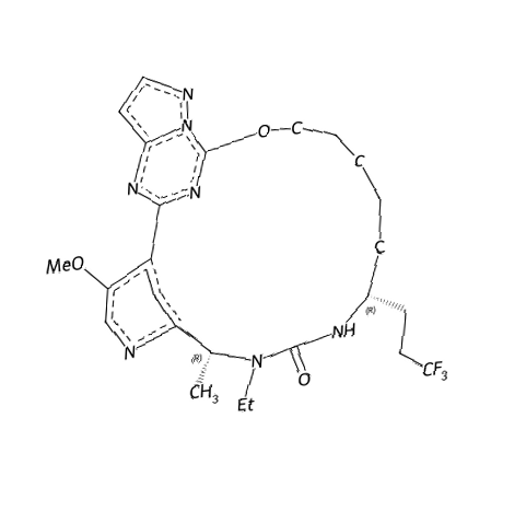 CCN1C(=O)N[C@@H](CCC(F)(F)F)CCCCCOc2nc(nc3ccnn23)-c2cc(ncc2OC)[C@H]1C